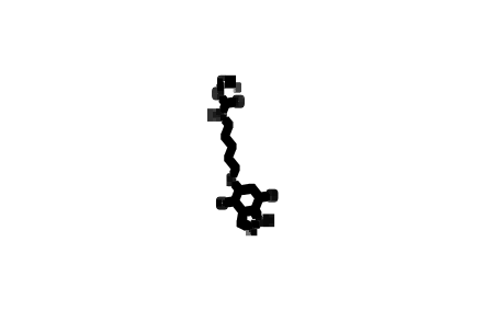 COC(=O)NCCCCCSC1=CC(=O)c2[nH]ncc2C1=O